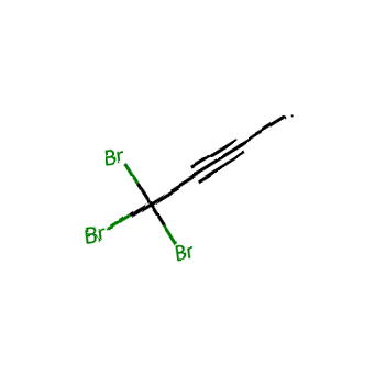 [CH2]C#CC(Br)(Br)Br